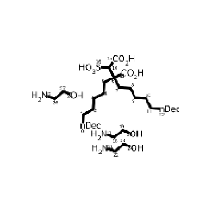 CCCCCCCCCCCCCCCC(CCCCCCCCCCCCCCC)(C(=O)O)C(C(=O)O)S(=O)(=O)O.NCCO.NCCO.NCCO